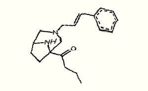 CCCC(=O)C12CCC(CN(CC=Cc3ccccc3)C1)N2